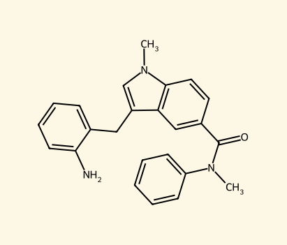 CN(C(=O)c1ccc2c(c1)c(Cc1ccccc1N)cn2C)c1ccccc1